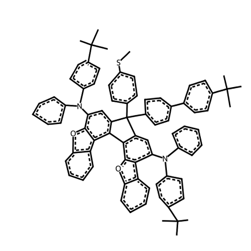 CSc1ccc(C2(c3ccc(-c4ccc(C(C)(C)C)cc4)cc3)c3cc(N(c4ccccc4)c4ccc(C(C)(C)C)cc4)c4c(oc5ccccc54)c3-c3c2cc(N(c2ccccc2)c2ccc(C(C)(C)C)cc2)c2oc4ccccc4c32)cc1